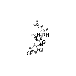 Cc1nc(NC(C)CCC2CC2)c2onc(-c3ccc(Cl)cc3Cl)c2n1